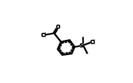 C[Si](C)(Cl)c1cccc(C(=O)Cl)c1